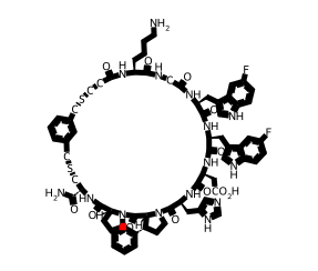 NCCCC[C@@H]1NC(=O)CCSCc2cccc(c2)CSC[C@@H](C(N)=O)NC(=O)[C@@H]2CCCN2C(=O)[C@@H]2[C@@H](c3ccccc3)CCN2C(=O)[C@H](Cc2cnc[nH]2)NC(=O)[C@H](CC(=O)O)NC(=O)[C@H](Cc2c[nH]c3ccc(F)cc23)NC(=O)[C@H](Cc2c[nH]c3ccc(F)cc23)NC(=O)CNC1=O